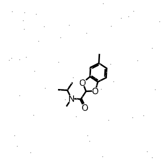 Cc1ccc2c(c1)OC(C(=O)N(C)C(C)C)O2